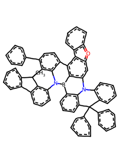 CC12c3ccccc3-c3cccc(c31)N1B3c4cccc5c4N(c4ccccc4C5(c4ccccc4)c4ccccc4)c4cc5oc6ccccc6c5c(c43)-c3ccc(-c4ccccc4)c2c31